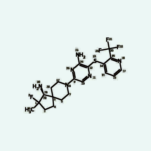 CC1(F)CCC2(CCN(c3cnc(Sc4cccnc4C(F)(F)F)c(N)n3)CC2)[C@@H]1N